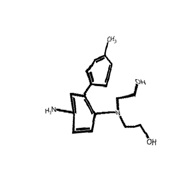 Cc1ccc(-c2cc(N)ccc2N(CCO)CCO)cc1